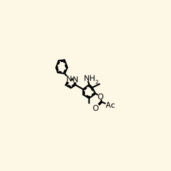 CC(=O)C(=O)Oc1c(C)cc(-c2ccn(-c3ccccc3)n2)c(N)c1C